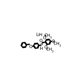 COc1cc(OC)c(C(=O)Pc2ccc(OCc3ccccc3)cc2)c(OC)c1.[LiH]